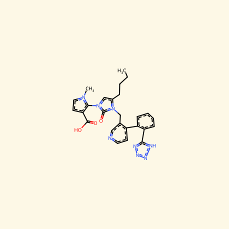 CCCCc1cn(-c2c(C(=O)O)ccn2C)c(=O)n1Cc1cnccc1-c1ccccc1-c1nnn[nH]1